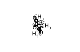 COc1ccc2c(CBr)c(-c3cnc(OC)nc3OC)c(=O)oc2c1